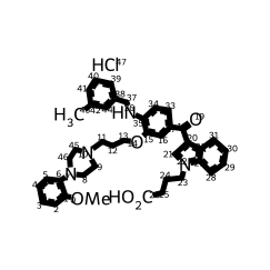 COc1ccccc1N1CCN(CCCOc2cc(C(=O)c3cn(CCCC(=O)O)c4ccccc34)ccc2NCc2cccc(C)c2)CC1.Cl